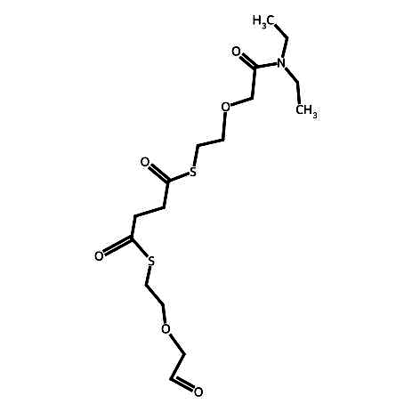 CCN(CC)C(=O)COCCSC(=O)CCC(=O)SCCOCC=O